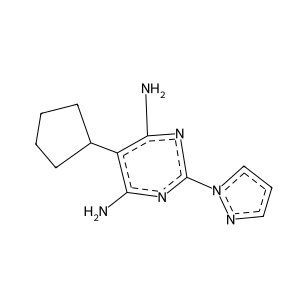 Nc1nc(-n2cccn2)nc(N)c1C1CCCC1